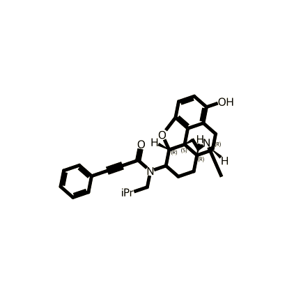 CC(C)CN(C(=O)C#Cc1ccccc1)C1CC[C@H]2[C@H]3Cc4c(O)ccc5c4[C@@]2(CCN3C)[C@H]1O5